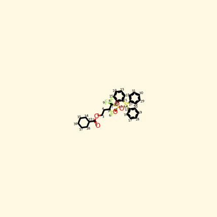 O=C(OCCC(F)C(F)(F)S(=O)(=O)OS(c1ccccc1)(c1ccccc1)c1ccccc1)C1CCCCC1